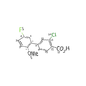 COc1ccc(F)cc1-c1ccc(C(=O)O)c(Cl)c1